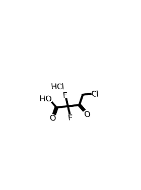 Cl.O=C(O)C(F)(F)C(=O)CCl